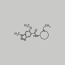 CCN1CCCCC[C@@H](NC(=O)c2cc3nnn(C)c3cc2OC)C1